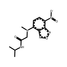 CC(C)NC(=O)CN(C)c1ccc([N+](=O)[O-])c2nonc12